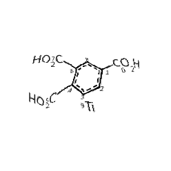 O=C(O)c1ccc(C(=O)O)c(C(=O)O)c1.[Ti]